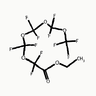 CCOC(=O)C(F)(F)OC(F)(F)OC(F)(F)OC(F)(F)OC(F)(F)F